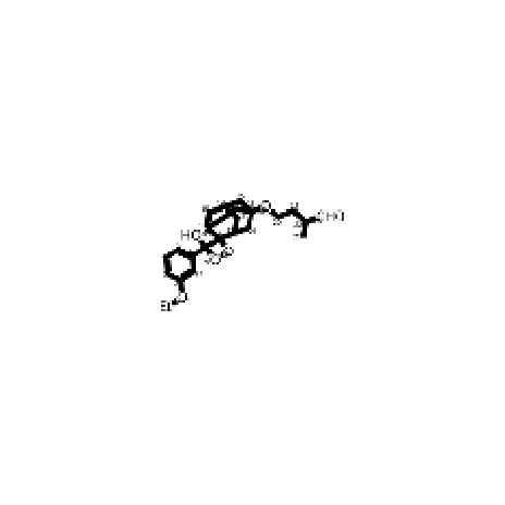 CCOc1cccc(C2(O)OOC23C2CC4CC3CC(OCCC(C)C=O)(C4)C2)c1